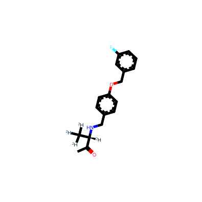 [2H]C([2H])([2H])[C@]([2H])(NCc1ccc(OCc2cccc(F)c2)cc1)C(C)=O